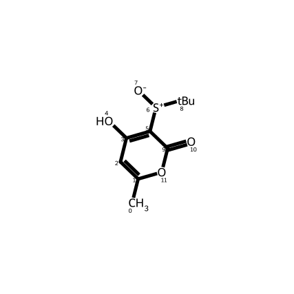 Cc1cc(O)c([S+]([O-])C(C)(C)C)c(=O)o1